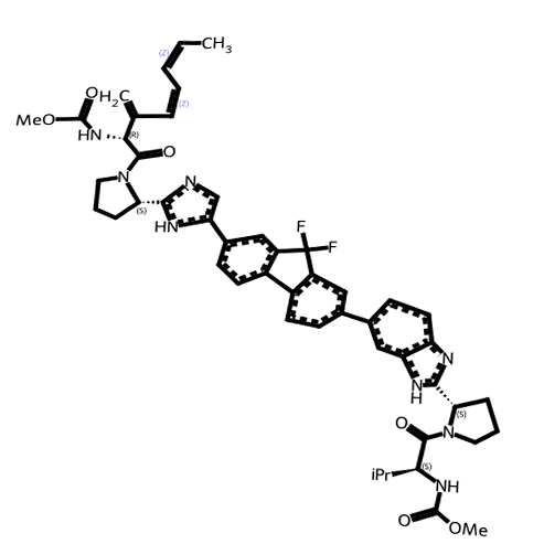 C=C(/C=C\C=C/C)[C@@H](NC(=O)OC)C(=O)N1CCC[C@H]1c1ncc(-c2ccc3c(c2)C(F)(F)c2cc(-c4ccc5nc([C@@H]6CCCN6C(=O)[C@@H](NC(=O)OC)C(C)C)[nH]c5c4)ccc2-3)[nH]1